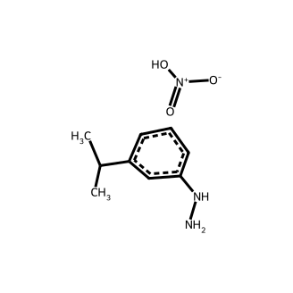 CC(C)c1cccc(NN)c1.O=[N+]([O-])O